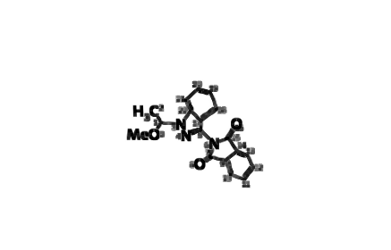 COC(C)n1nc(N2C(=O)c3ccccc3C2=O)c2ccccc21